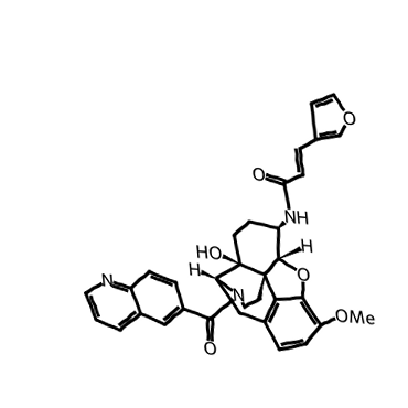 COc1ccc2c3c1O[C@H]1[C@H](NC(=O)/C=C/c4ccoc4)CC[C@@]4(O)[C@@H](C2)N(C(=O)c2ccc5ncccc5c2)CC[C@]314